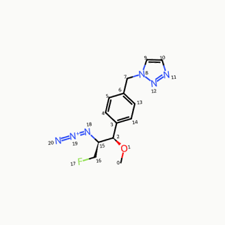 CO[C@H](c1ccc(Cn2ccnn2)cc1)[C@@H](CF)N=[N+]=[N-]